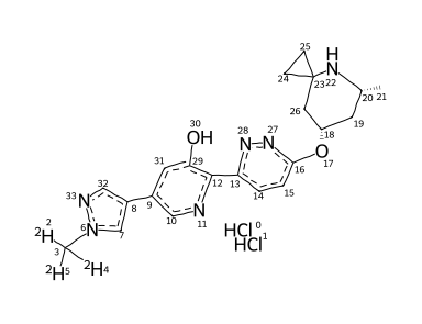 Cl.Cl.[2H]C([2H])([2H])n1cc(-c2cnc(-c3ccc(O[C@H]4C[C@@H](C)NC5(CC5)C4)nn3)c(O)c2)cn1